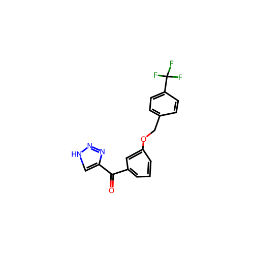 O=C(c1cccc(OCc2ccc(C(F)(F)F)cc2)c1)c1c[nH]nn1